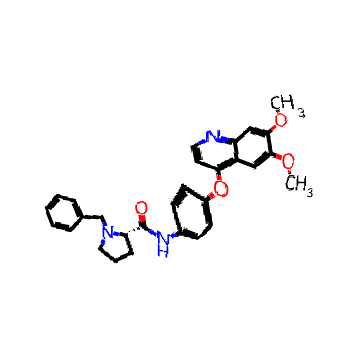 COc1cc2nccc(Oc3ccc(NC(=O)[C@@H]4CCCN4Cc4ccccc4)cc3)c2cc1OC